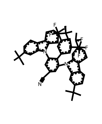 CC(C)(C)c1ccc2c3ccc(C(C)(C)C)cc3n(-c3cc(C#N)cc(-n4c5cc(C(C)(C)C)ccc5c5ccc(C(C)(C)C)cc54)c3-c3cc(C(F)(F)F)cc(C(F)(F)F)c3)c2c1